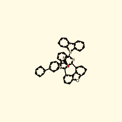 c1ccc(-c2ccc(-c3nc(-c4cccc5oc6cccc(-c7nc8ccccc8s7)c6c45)nc(-n4c5ccccc5c5ccccc54)n3)cc2)cc1